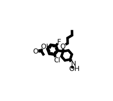 CC(=O)O.CCCCOC1(c2c(F)cccc2Cl)CCC(=NO)CC1